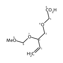 C=CC(COCC(=O)O)OCOC